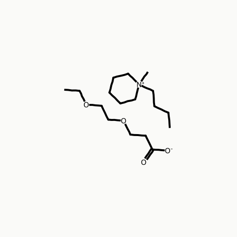 CCCC[N+]1(C)CCCCC1.CCOCCOCCC(=O)[O-]